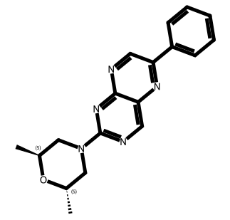 C[C@H]1CN(c2ncc3nc(-c4ccccc4)cnc3n2)C[C@H](C)O1